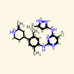 C=C1CC(c2cc(C)c(Nc3ncc(Cl)c(Nc4cc(C)[nH]n4)n3)cc2C)CCN1